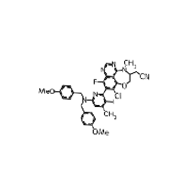 COc1ccc(CN(Cc2ccc(OC)cc2)c2cc(C)c(I)c(-c3c(Cl)c4c5c(ncnc5c3F)N(C)C(CC#N)CO4)n2)cc1